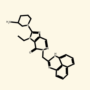 CCn1c(N2CCCC(N)C2)nc2cnn(CC3=Nc4cccc5cccc(c45)N3)c(=O)c21